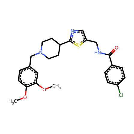 COc1ccc(CN2CCC(c3ncc(CNC(=O)c4ccc(Cl)cc4)s3)CC2)cc1OC